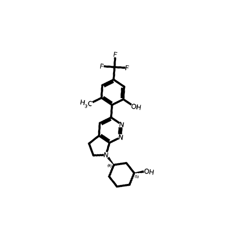 Cc1cc(C(F)(F)F)cc(O)c1-c1cc2c(nn1)N([C@@H]1CCC[C@H](O)C1)CC2